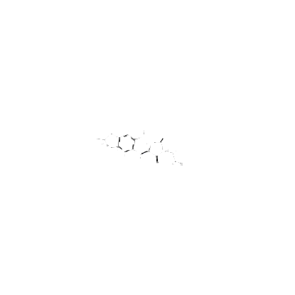 CCOc1cc2c(cc1/C=C1\SC(=S)N(CCC(=O)O)C1=O)OC(C)C2